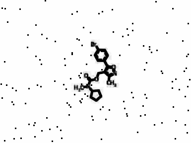 Cc1noc(-c2ccc(Br)cc2)c1COC(=O)N(C)C1CCCC1